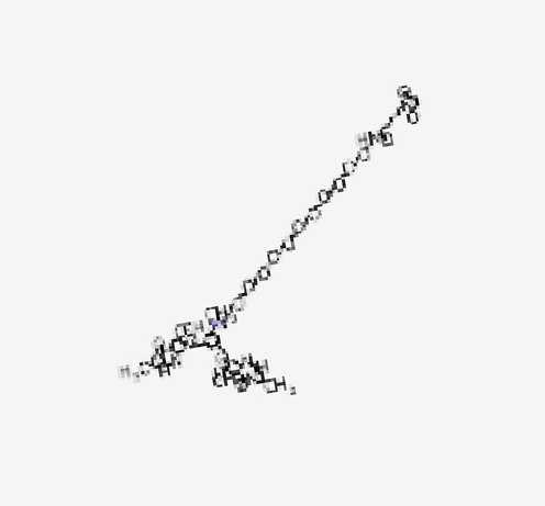 C=C1C[C@H]2C=Nc3cc(OCc4cc(COc5cc6c(cc5OC)C(=O)N5CC(=C)C[C@H]5C=N6)cc(/C(CC)=N/OCCOCCOCCOCCOCCOCCOCCOCCOCCOCCOCCOCCNC(=O)CCCCCN5C(=O)C=CC5=O)c4)c(OC)cc3C(=O)N2C1